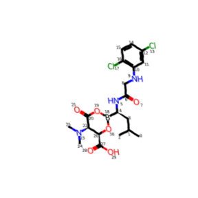 CC(C)C[C@H](NC(=O)CNc1cc(Cl)ccc1Cl)B1OC(=O)[C@H](N(C)C)[C@H](C(=O)O)O1